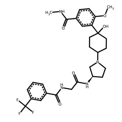 CNC(=O)c1ccc(OC)c(C2(O)CCC(N3CC[C@@H](NC(=O)CNC(=O)c4cccc(C(F)(F)F)c4)C3)CC2)c1